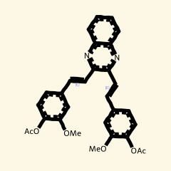 COc1cc(/C=C/c2nc3ccccc3nc2/C=C/c2ccc(OC(C)=O)c(OC)c2)ccc1OC(C)=O